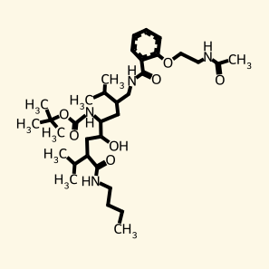 CCCCNC(=O)C(CC(O)C(CC(CNC(=O)c1ccccc1OCCNC(C)=O)C(C)C)NC(=O)OC(C)(C)C)C(C)C